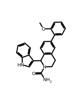 COc1ccccc1-c1ccc2c(c1)CCN(C(N)=O)C2c1c[nH]c2ccccc12